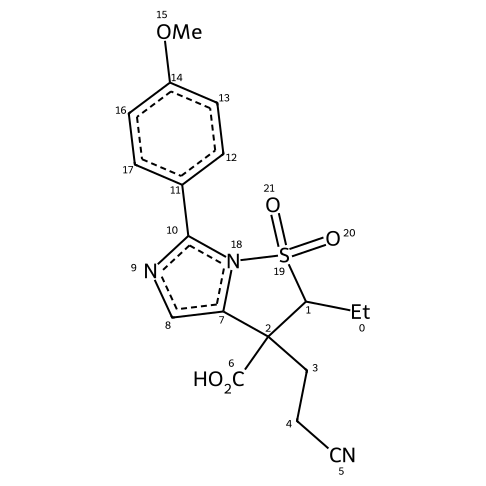 CCC1C(CCC#N)(C(=O)O)c2cnc(-c3ccc(OC)cc3)n2S1(=O)=O